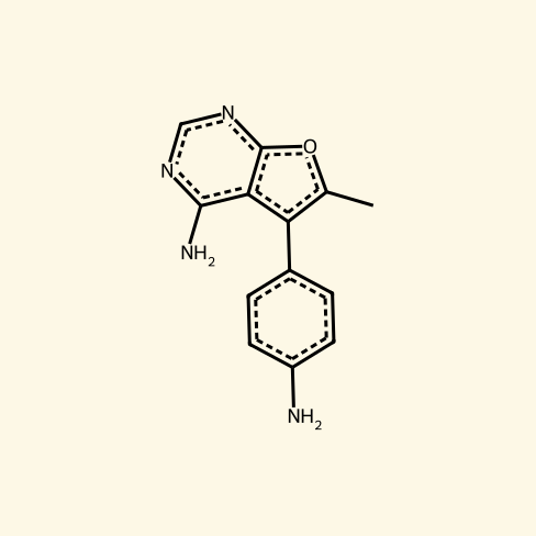 Cc1oc2ncnc(N)c2c1-c1ccc(N)cc1